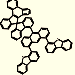 c1ccc2c(c1)-c1c(-c3c4cccc(-c5cccc6c5sc5ccccc56)c4cc4c(-c5cccc6c5sc5ccccc56)cccc34)cccc1C21c2ccccc2-c2c1c1ccccc1c1ccccc21